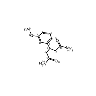 CCCOc1cccc(C(CC(N)=O)CC(N)=O)c1